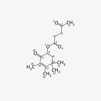 CC(=O)CCC(=O)OC1CC(C)(C)C(C)=C(C)C1=O